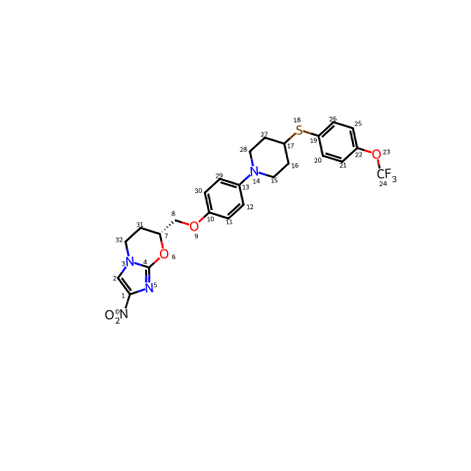 O=[N+]([O-])c1cn2c(n1)O[C@@H](COc1ccc(N3CCC(Sc4ccc(OC(F)(F)F)cc4)CC3)cc1)CC2